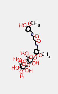 COc1cc(/C=C/C(=O)CC(=O)/C=C/c2ccc(O[C@@H]3O[C@H](CO)[C@@H](O)[C@H](O[C@@H]4O[C@H](CO)[C@@H](O)[C@H](O)[C@H]4O)[C@H]3O)c(OC)c2)ccc1O